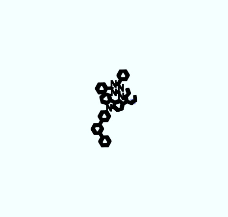 C=Cc1c(/C=C\C)c2ccc3c(c4ccccc4n3-c3ccc(-c4cccc(-c5ccccc5)c4)cc3)c2n1-c1nc(-c2ccccc2)nc(-c2ccccc2)n1